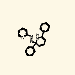 C1=CC(N=Nc2ccccn2)(c2ccccc2)NC(c2ccccc2)=C1